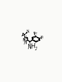 N#CC1(n2cc(C(N)c3ccc(F)c(F)c3)nn2)CC1